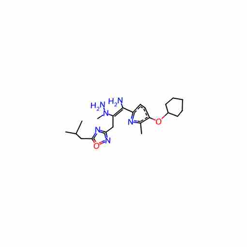 Cc1nc(/C(N)=C(\Cc2noc(CC(C)C)n2)N(C)N)ccc1OC1CCCCC1